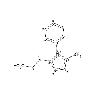 O=C(O)CSc1nnc(C(F)(F)F)n1-c1ccccc1